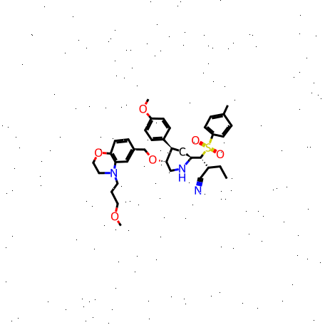 CCC(C#N)[C@H]([C@@H]1C[C@H](c2ccc(OC)cc2)[C@@H](OCc2ccc3c(c2)N(CCCOC)CCO3)CN1)S(=O)(=O)c1ccc(C)cc1